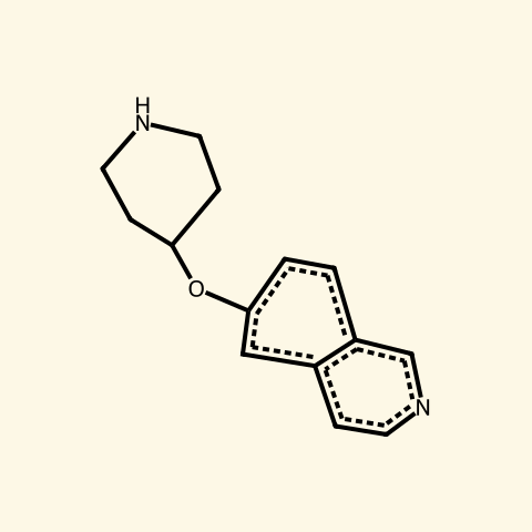 c1cc2cc(OC3CCNCC3)ccc2cn1